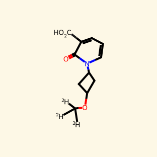 [2H]C([2H])([2H])OC1CC(n2cccc(C(=O)O)c2=O)C1